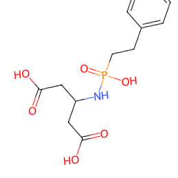 O=C(O)CC(CC(=O)O)NP(=O)(O)CCc1ccncc1